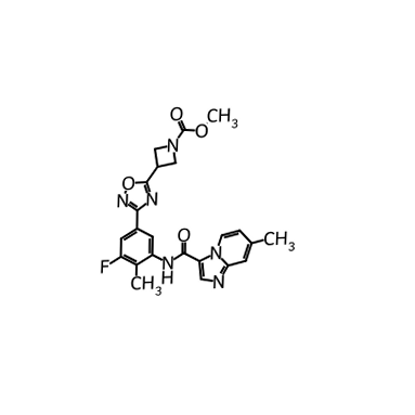 COC(=O)N1CC(c2nc(-c3cc(F)c(C)c(NC(=O)c4cnc5cc(C)ccn45)c3)no2)C1